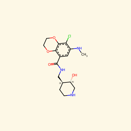 CNc1cc(C(=O)NC[C@@H]2CCNC[C@H]2O)c2c(c1Cl)OCCO2